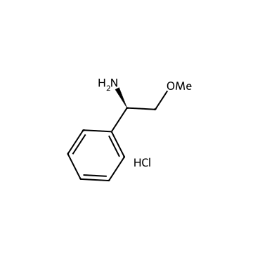 COC[C@H](N)c1ccccc1.Cl